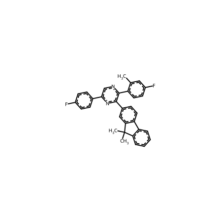 Cc1cc(F)ccc1-c1ncc(-c2ccc(F)cc2)nc1-c1ccc2c(c1)C(C)(C)c1ccccc1-2